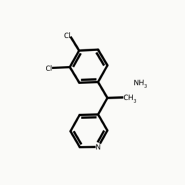 CC(c1cccnc1)c1ccc(Cl)c(Cl)c1.N